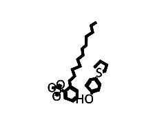 CCCCCCCCCCCCc1ccccc1S(=O)(=O)[O-].Oc1ccc([S+]2CCCC2)cc1